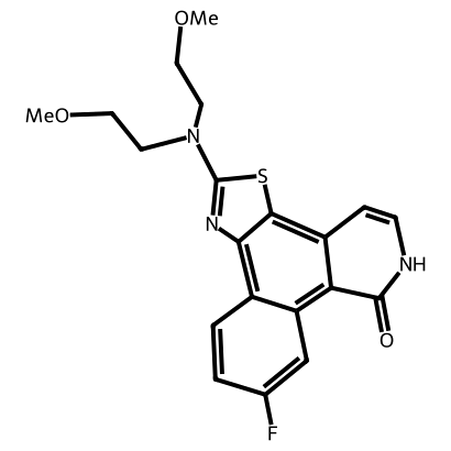 COCCN(CCOC)c1nc2c3ccc(F)cc3c3c(=O)[nH]ccc3c2s1